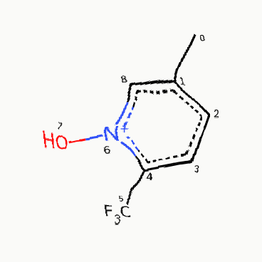 Cc1ccc(C(F)(F)F)[n+](O)c1